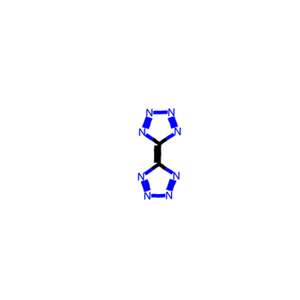 N1=NC(=C2N=NN=N2)N=N1